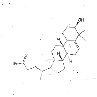 CC(C)C(=O)CC[C@@H](C)[C@H]1CC[C@H]2[C@@H]3CC=C4C(C)(C)[C@H](O)CC[C@]4(C)[C@H]3CC[C@]12C